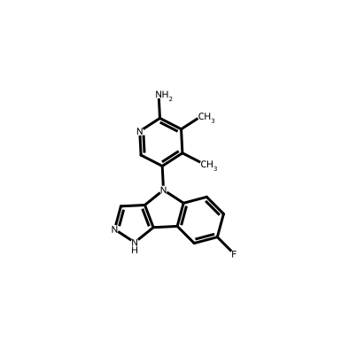 Cc1c(-n2c3ccc(F)cc3c3[nH]ncc32)cnc(N)c1C